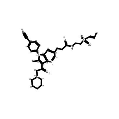 C/C=C/S(=O)(=O)CCNC(=O)CCc1cnc2c(C(=O)CN3CCCCC3)c(C)n(-c3ccc(C#N)cc3)c2c1